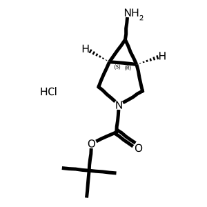 CC(C)(C)OC(=O)N1C[C@@H]2C(N)[C@@H]2C1.Cl